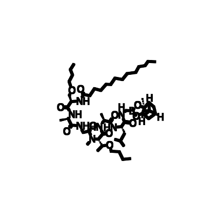 CCCCCCCCCCCCCC(=O)N[C@H](COCCCC)C(=O)N[C@H](C)C(=O)NCC(=O)N(C)[C@H](C(=O)N[C@@H](C)C(=O)N[C@@H](CC(C)C)C(=O)NCB1O[C@@H]2C[C@@H]3C[C@@H](C3(C)C)[C@]2(C)O1)C(C)OCCCC